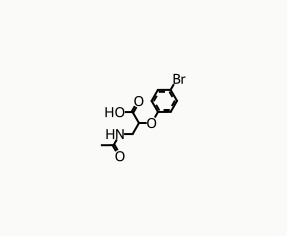 CC(=O)NCC(Oc1ccc(Br)cc1)C(=O)O